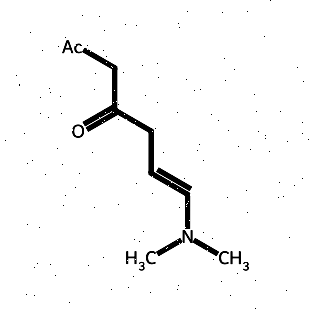 CC(=O)CC(=O)CC=CN(C)C